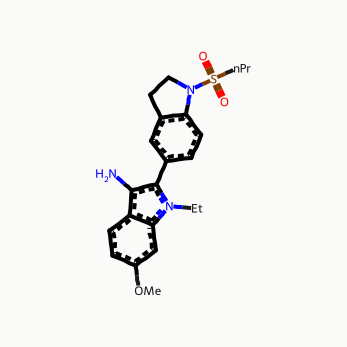 CCCS(=O)(=O)N1CCc2cc(-c3c(N)c4ccc(OC)cc4n3CC)ccc21